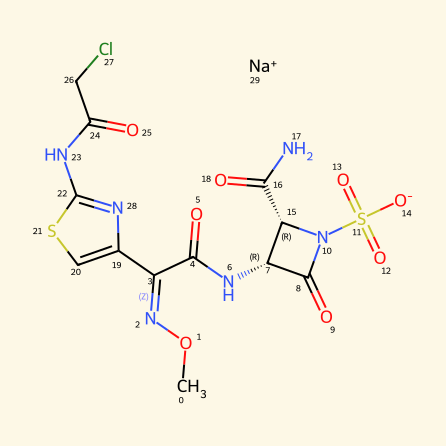 CO/N=C(\C(=O)N[C@H]1C(=O)N(S(=O)(=O)[O-])[C@H]1C(N)=O)c1csc(NC(=O)CCl)n1.[Na+]